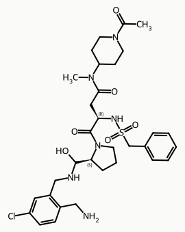 CC(=O)N1CCC(N(C)C(=O)C[C@@H](NS(=O)(=O)Cc2ccccc2)C(=O)N2CCC[C@H]2C(O)NCc2cc(Cl)ccc2CN)CC1